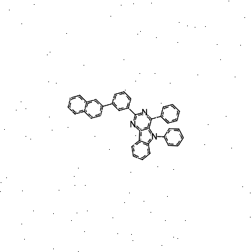 c1ccc(-c2nc(-c3cccc(-c4ccc5ccccc5c4)c3)nc3c4ccccc4n(-c4ccccc4)c23)cc1